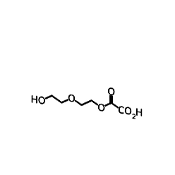 O=C(O)C(=O)OCCOCCO